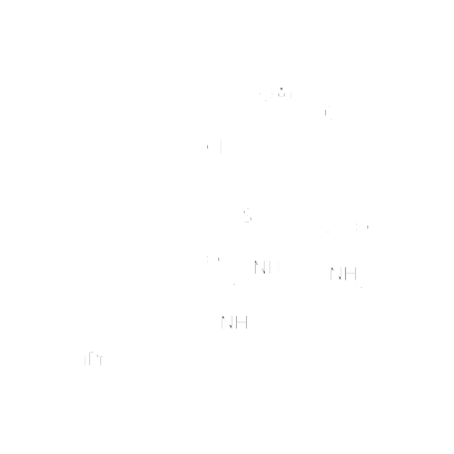 CC(=O)Oc1c(Cl)cc2c(C(N)=O)c(NC(=O)Nc3ccc(C(C)C)cc3)sc2c1Cl